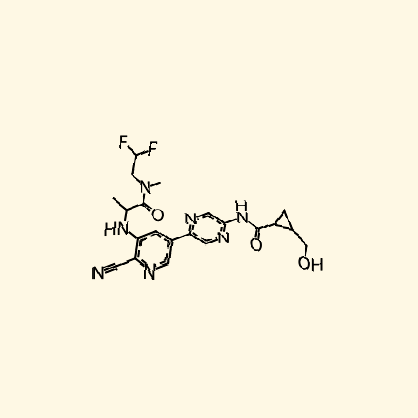 CC(Nc1cc(-c2cnc(NC(=O)C3CC3CO)cn2)cnc1C#N)C(=O)N(C)CC(F)F